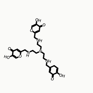 O=C1C=C(CNCCN(CCNCc2cc(=O)c(O)co2)CCNCc2cc(=O)c(O)co2)CC=C1O